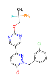 CC(F)(P)COc1ncc(-c2ccc(=O)n(Cc3cccc(Cl)c3)n2)cn1